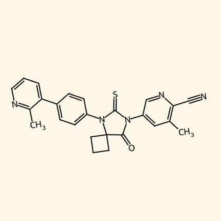 Cc1cc(N2C(=O)C3(CCC3)N(c3ccc(-c4cccnc4C)cc3)C2=S)cnc1C#N